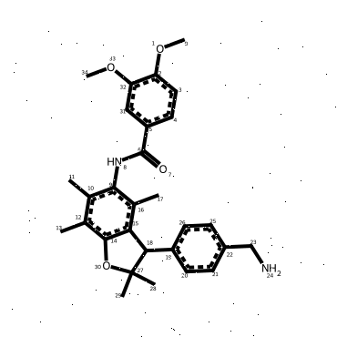 COc1ccc(C(=O)Nc2c(C)c(C)c3c(c2C)C(c2ccc(CN)cc2)C(C)(C)O3)cc1OC